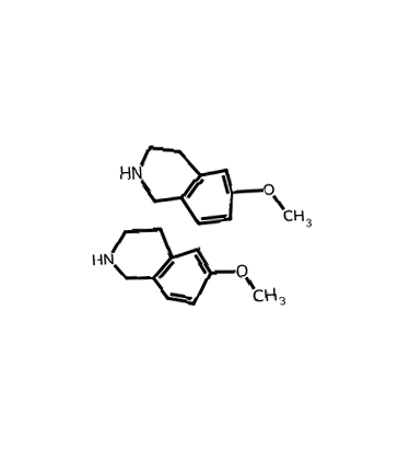 COc1ccc2c(c1)CCNC2.COc1ccc2c(c1)CCNC2